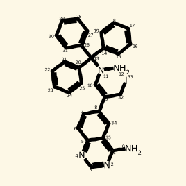 Nc1ncnc2ccc(/C(=C/N(N)C(c3ccccc3)(c3ccccc3)c3ccccc3)CI)cc12